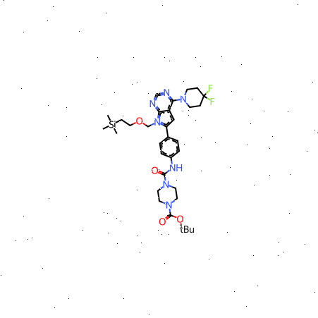 CC(C)(C)OC(=O)N1CCN(C(=O)Nc2ccc(-c3cc4c(N5CCC(F)(F)CC5)ncnc4n3COCC[Si](C)(C)C)cc2)CC1